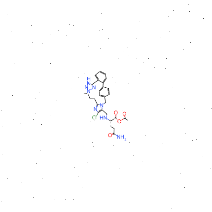 CCCCc1nc(Cl)c(CN[C@@H](CCC(N)=O)C(=O)OC(C)=O)n1Cc1ccc(-c2ccccc2-c2nnn[nH]2)cc1